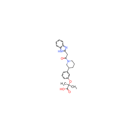 CC(C)(Oc1cccc(C2CCCN(C(=O)Cc3nc4ccccc4[nH]3)C2)c1)C(=O)O